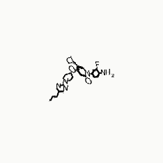 CCCc1cnc(N2CCC(Oc3cc(=O)n(-c4ccc(N)c(F)c4)cc3Cl)CC2)nc1